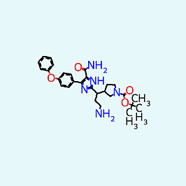 CC(C)(C)OC(=O)N1CCC(C(CCN)c2nc(-c3ccc(Oc4ccccc4)cc3)c(C(N)=O)[nH]2)C1